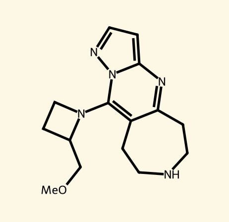 COCC1CCN1c1c2c(nc3ccnn13)CCNCC2